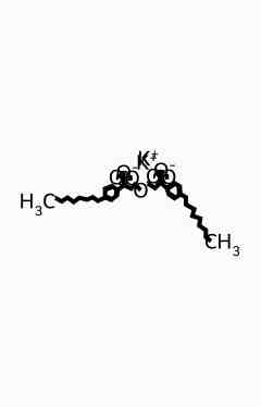 CCCCCCCCCc1ccc(C(CCOCCC(c2ccc(CCCCCCCCC)cc2)S(=O)(=O)[O-])S(=O)(=O)[O-])cc1.[K+].[K+]